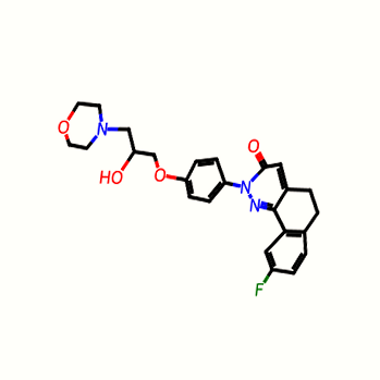 O=c1cc2c(nn1-c1ccc(OCC(O)CN3CCOCC3)cc1)-c1cc(F)ccc1CC2